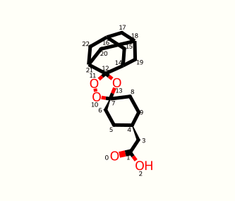 O=C(O)C[C@H]1CC[C@@]2(CC1)OOC1(O2)C2CC3CC(C2)CC1C3